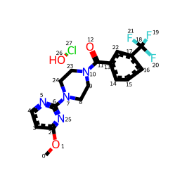 COc1ccnc(N2CCN(C(=O)c3cccc(C(F)(F)F)c3)CC2)n1.OCl